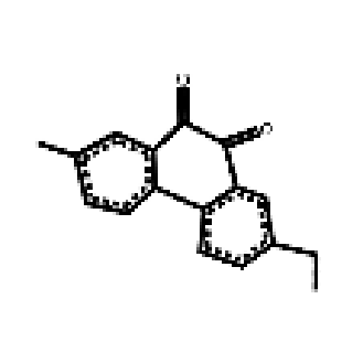 CCc1ccc2c(c1)C(=O)C(=O)c1cc(C)ccc1-2